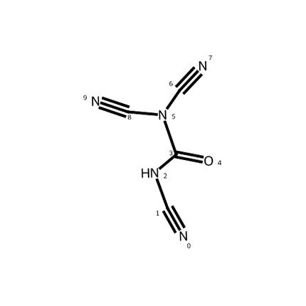 N#CNC(=O)N(C#N)C#N